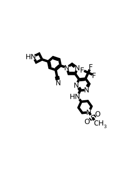 CS(=O)(=O)N1CCC(Nc2ncc(C(F)(F)F)c(-c3cn(-c4ccc(C5CNC5)cc4C#N)cn3)n2)CC1